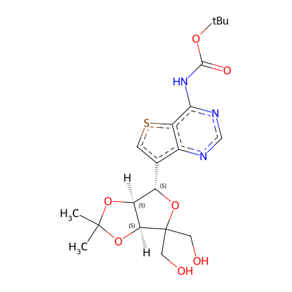 CC(C)(C)OC(=O)Nc1ncnc2c([C@@H]3OC(CO)(CO)[C@H]4OC(C)(C)O[C@@H]34)csc12